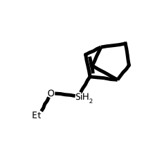 CCO[SiH2]C1=CC2CCC1C2